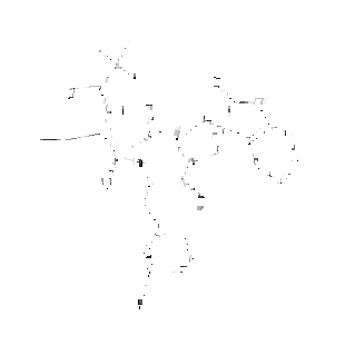 C=[N+](C)[C@@H]1C[C@@]2(CN1C(=O)C(Cc1cccc(F)c1)NC(=O)[C@@H](NC(=O)C(F)(F)F)C(C)(C)C)C(=O)Nc1ccccc12